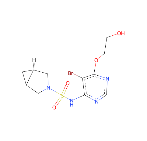 O=S(=O)(Nc1ncnc(OCCO)c1Br)N1CC2C[C@H]2C1